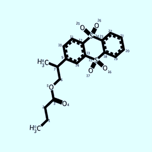 CCCC(=O)OCC(C)c1ccc2c(c1)S(=O)(=O)c1ccccc1S2(=O)=O